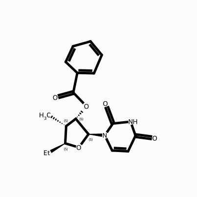 CC[C@@H]1O[C@H](n2ccc(=O)[nH]c2=O)[C@@H](OC(=O)c2ccccc2)[C@H]1C